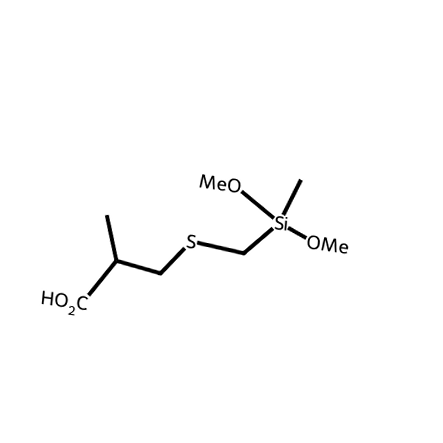 CO[Si](C)(CSCC(C)C(=O)O)OC